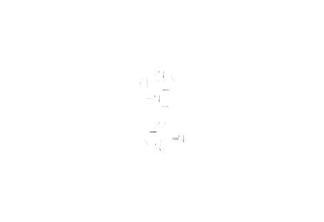 N#Cc1ncccc1OCC(=O)Nc1cccnc1Cl